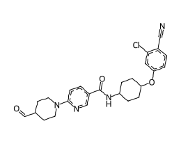 N#Cc1ccc(OC2CCC(NC(=O)c3ccc(N4CCC(C=O)CC4)nc3)CC2)cc1Cl